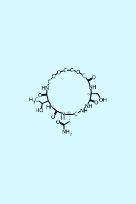 CC(O)C1NC(=O)N[C@@H](CC(N)=O)CNNC(=O)[C@H](CO)NC(=O)COCCOCCNC1=O